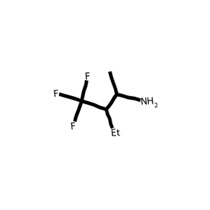 CCC(C(C)N)C(F)(F)F